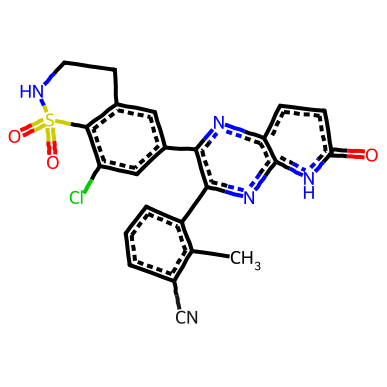 Cc1c(C#N)cccc1-c1nc2[nH]c(=O)ccc2nc1-c1cc(Cl)c2c(c1)CCNS2(=O)=O